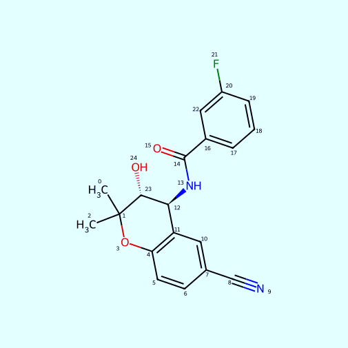 CC1(C)Oc2ccc(C#N)cc2[C@H](NC(=O)c2cccc(F)c2)[C@H]1O